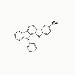 CC(C)(C)c1ccc2sc3c(ccc4c5ccccc5n(-c5ccccc5)c43)c2c1